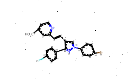 O=C(O)c1ccnc(/C=C/c2cn(-c3ccc(Br)cc3)nc2-c2ccc(F)cc2)c1